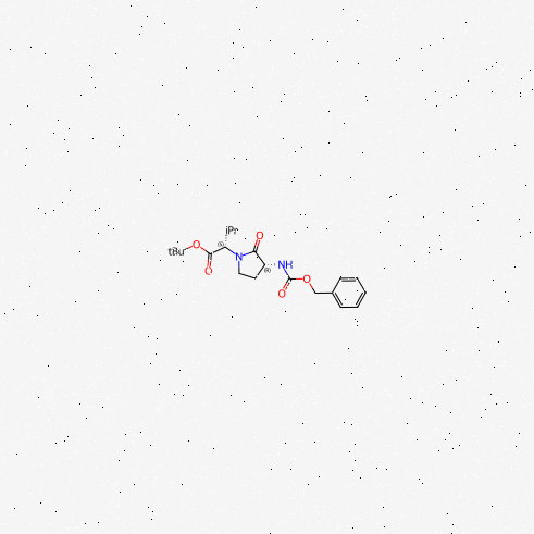 CC(C)[C@@H](C(=O)OC(C)(C)C)N1CC[C@@H](NC(=O)OCc2ccccc2)C1=O